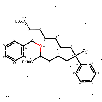 CCCCCC(CCCC(CCCCCCC(=O)OCC)(C(C)=O)c1ccccc1)OCc1ccccc1